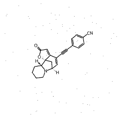 N#Cc1ccc(C#CC2=C[C@@H]3C[C@@]4(OC(=O)C=C24)[C@H]2CCCCN32)cc1